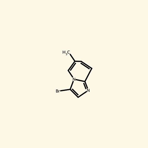 Cc1ccc2ncc(Br)n2c1